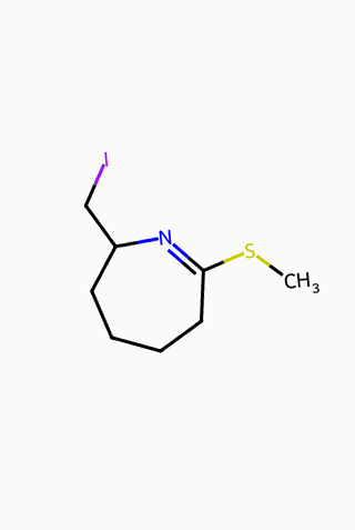 CSC1=NC(CI)CCCC1